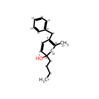 CCCCC1(O)C=CC(Cc2ccccc2)=C(C)C1